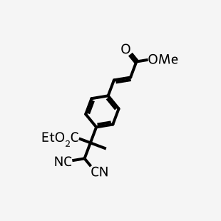 CCOC(=O)C(C)(c1ccc(/C=C/C(=O)OC)cc1)C(C#N)C#N